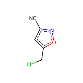 N#Cc1cc(CCl)on1